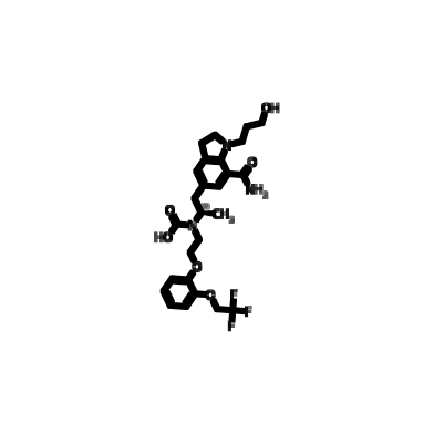 C[C@H](Cc1cc2c(c(C(N)=O)c1)N(CCCO)CC2)N(CCOc1ccccc1OCC(F)(F)F)C(=O)O